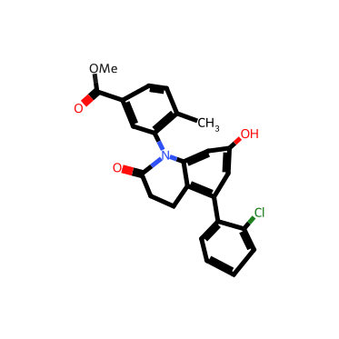 COC(=O)c1ccc(C)c(N2C(=O)CCc3c(-c4ccccc4Cl)cc(O)cc32)c1